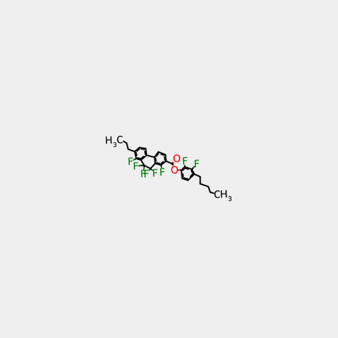 CCCCCc1ccc(OC(=O)c2ccc3c(c2F)C(F)(F)C(F)(F)c2c-3ccc(CCC)c2F)c(F)c1F